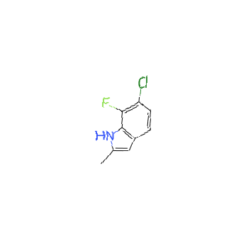 Cc1cc2ccc(Cl)c(F)c2[nH]1